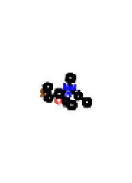 c1ccc(-c2ccc(-c3nc(-c4ccccc4)nc(-c4ccc(-c5cccc6sc7ccccc7c56)c5oc6cc7ccccc7cc6c45)n3)cc2)cc1